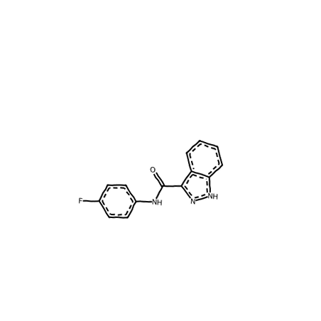 O=C(Nc1ccc(F)cc1)c1n[nH]c2ccccc12